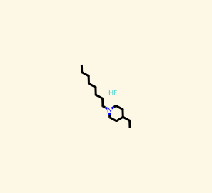 CCCCCCCCN1CCC(CC)CC1.F